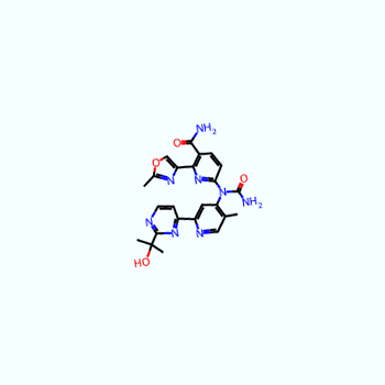 Cc1nc(-c2nc(N(C(N)=O)c3cc(-c4ccnc(C(C)(C)O)n4)ncc3C)ccc2C(N)=O)co1